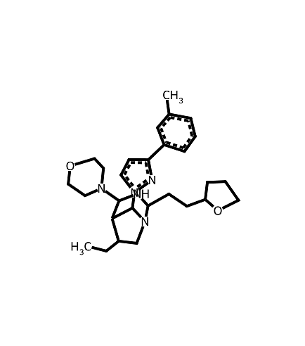 CCC1CN2C(CCC3CCCO3)NC(N3CCOCC3)C1C2n1ccc(-c2cccc(C)c2)n1